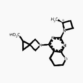 C[C@H]1CCN1c1nc2c(c(N3CC4(CC4C(=O)O)C3)n1)CCCO2